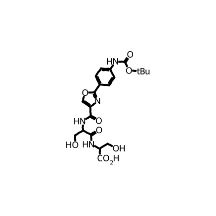 CC(C)(C)OC(=O)Nc1ccc(-c2nc(C(=O)NC(CO)C(=O)NC(CO)C(=O)O)co2)cc1